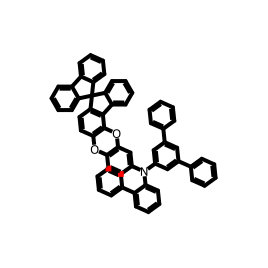 c1ccc(-c2cc(-c3ccccc3)cc(N(c3ccc4c(c3)Oc3c(ccc5c3-c3ccccc3C53c5ccccc5-c5ccccc53)O4)c3ccccc3-c3ccccc3)c2)cc1